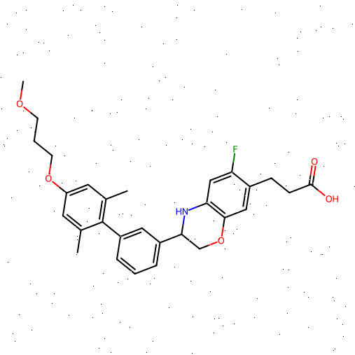 COCCCOc1cc(C)c(-c2cccc(C3COc4cc(CCC(=O)O)c(F)cc4N3)c2)c(C)c1